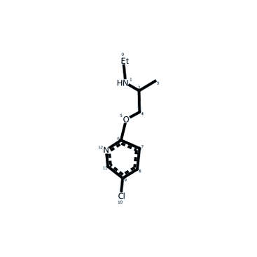 CCNC(C)COc1ccc(Cl)cn1